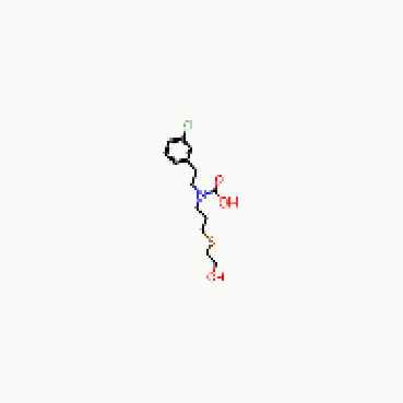 O=C(O)N(CCCSCCO)CCc1cccc(Cl)c1